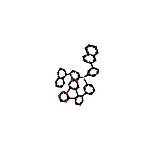 c1ccc(-c2ccccc2-c2c(-c3ccccc3)cccc2-c2cccc(N(c3ccc(-c4cccc5ccccc45)cc3)c3cccc(-c4ccc5ccccc5c4)c3)c2)cc1